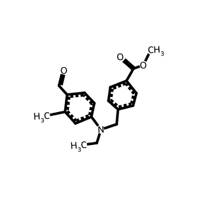 CCN(Cc1ccc(C(=O)OC)cc1)c1ccc(C=O)c(C)c1